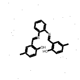 Cc1ccc(O)c(C=Nc2ccccc2N=Cc2cc(C)ccc2O)c1